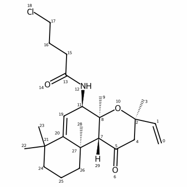 C=C[C@@]1(C)CC(=O)[C@H]2[C@](C)(O1)[C@H](NC(=O)CCCCl)C=C1C(C)(C)CCC[C@@]12C